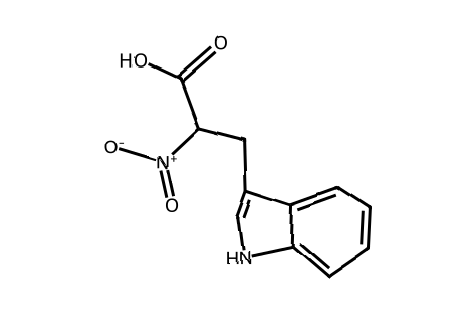 O=C(O)C(Cc1c[nH]c2ccccc12)[N+](=O)[O-]